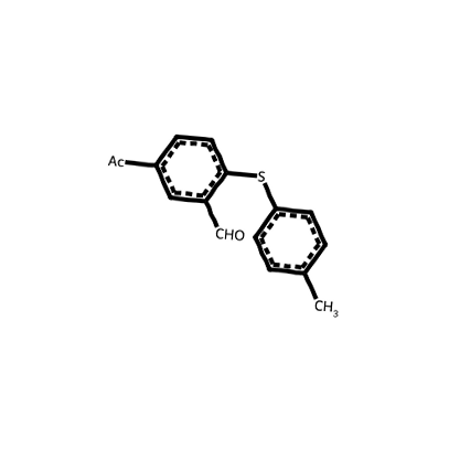 CC(=O)c1ccc(Sc2ccc(C)cc2)c(C=O)c1